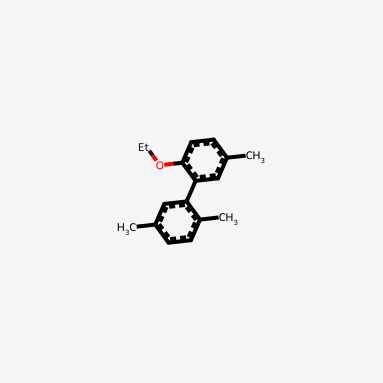 CCOc1ccc(C)cc1-c1cc(C)ccc1C